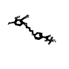 CCCc1c(OCCCCOc2ccc(C(=O)NS(=O)(=O)C(F)(F)F)cc2)ccc(C(C)=O)c1O